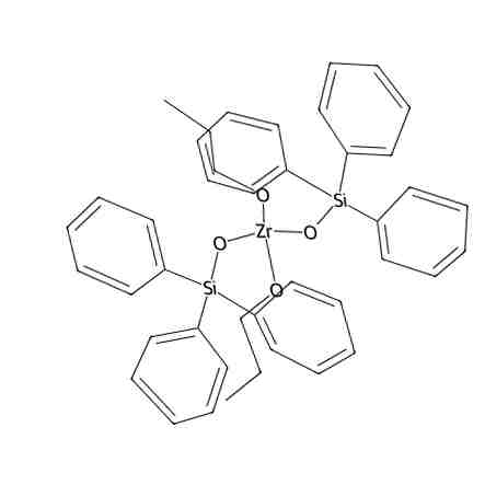 CCC[O][Zr]([O]CCC)([O][Si](c1ccccc1)(c1ccccc1)c1ccccc1)[O][Si](c1ccccc1)(c1ccccc1)c1ccccc1